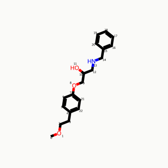 COCCc1ccc(OCC(O)CNCc2ccccc2)cc1